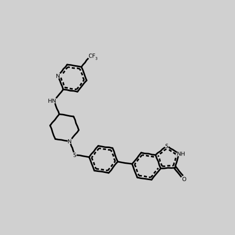 O=c1[nH]sc2cc(-c3ccc(SN4CCC(Nc5ccc(C(F)(F)F)cn5)CC4)cc3)ccc12